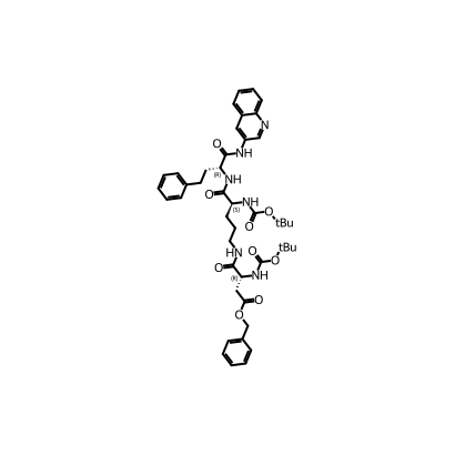 CC(C)(C)OC(=O)N[C@@H](CCCNC(=O)[C@@H](CC(=O)OCc1ccccc1)NC(=O)OC(C)(C)C)C(=O)N[C@H](CCc1ccccc1)C(=O)Nc1cnc2ccccc2c1